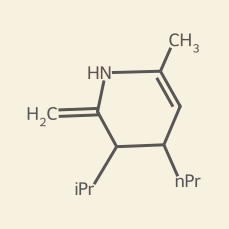 C=C1NC(C)=CC(CCC)C1C(C)C